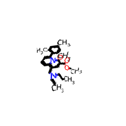 CCCN(CCC)Cc1cc(C(=O)OCC)c(=O)n2c(-c3c(C)cc(C)cc3C)cccc12